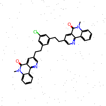 Cn1c(=O)c2cc(CCc3cc(Cl)cc(CCc4cnc5c(c4)c(=O)n(C)c4ccccc54)c3)cnc2c2ccccc21